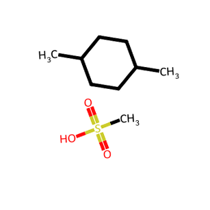 CC1CCC(C)CC1.CS(=O)(=O)O